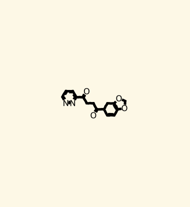 O=C(CCC(=O)C1C=CC2=C(C1)OCO2)c1cccnn1